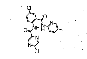 Cc1ccc(NC(=O)c2cc(Cl)ccc2NC(=O)c2cnc(Cl)cn2)nc1